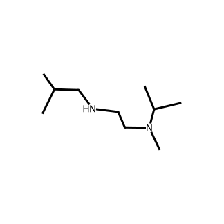 CC(C)CNCCN(C)C(C)C